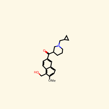 COc1ccc2cc(C(=O)C3CCCN(CC4CC4)C3)ccc2c1CO